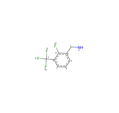 [NH]Cc1cccc(C(F)(F)F)c1F